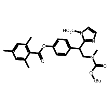 Cc1cc(C)c(C(=O)Oc2ccc(C(CN(C)C(=O)OC(C)(C)C)c3nccn3C(=O)O)cc2)c(C)c1